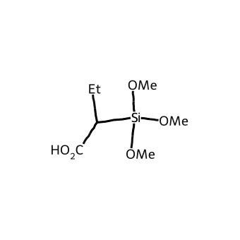 CCC(C(=O)O)[Si](OC)(OC)OC